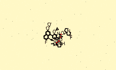 COCOc1cc(-c2ccc3c(N4C[C@H]5CC[C@@H](C4)N5C(=O)OC(C)(C)C)nc(OC[C@@]45CCCN4C[C@H](F)C5)nc3c2OC2CC2)c2c(C#C[Si](C(C)C)(C(C)C)C(C)C)c(F)ccc2c1